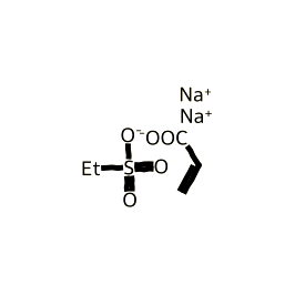 C=CC(=O)[O-].CCS(=O)(=O)[O-].[Na+].[Na+]